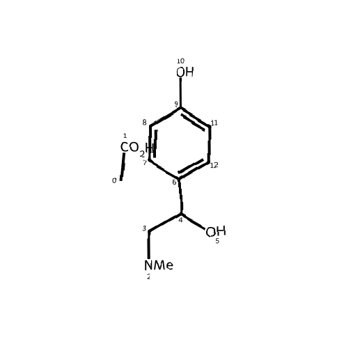 CC(=O)O.CNCC(O)c1ccc(O)cc1